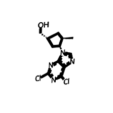 C[C@@H]1C[C@@H](CO)C[C@H]1n1cnc2c(Cl)nc(Cl)nc21